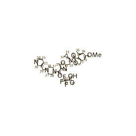 COc1cc(C)c(S(=O)(=O)N(Cc2nc(C(=O)N3CCN(Cc4cccnc4)CC3)co2)C2CC2)c(C)c1.O=C(O)C(F)(F)F